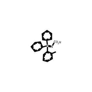 Cc1ccccc1P(=NC(=O)O)(c1ccccc1)c1ccccc1